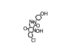 O=c1c2ccc(Cl)cc2n(O)c2c(=O)n(-c3ccc(O)cc3)ncc12